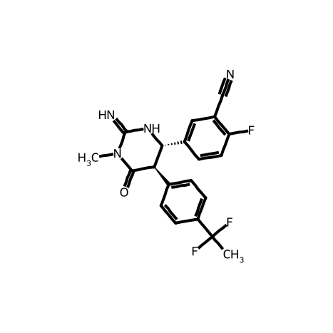 CN1C(=N)N[C@H](c2ccc(F)c(C#N)c2)[C@@H](c2ccc(C(C)(F)F)cc2)C1=O